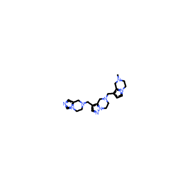 CN1CCn2ccc(CN3CCn4ncc(CN5CCn6cncc6C5)c4C3)c2C1